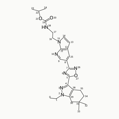 CCn1nc(-c2nc(-c3cnc4c(ccn4CCNC(=O)OC(C)C)c3)no2)c2c1CC(C)(C)CC2